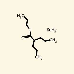 CCCOC(=O)C(CCC)CCC.[SnH2]